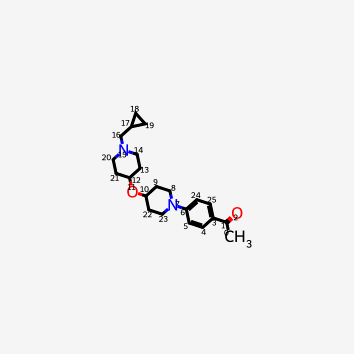 CC(=O)c1ccc(N2CCC(OC3CCN(CC4CC4)CC3)CC2)cc1